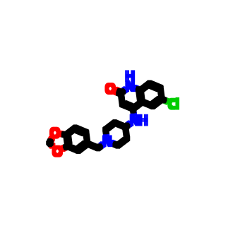 O=c1cc(NC2CCN(Cc3ccc4c(c3)OCO4)CC2)c2cc(Cl)ccc2[nH]1